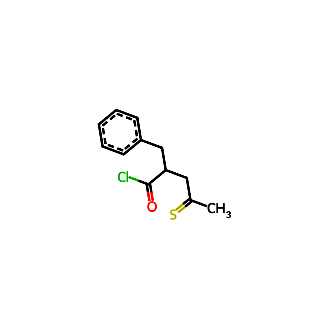 CC(=S)CC(Cc1ccccc1)C(=O)Cl